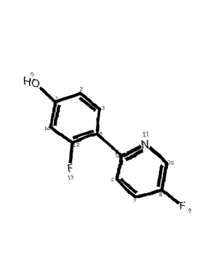 Oc1ccc(-c2ccc(F)cn2)c(F)c1